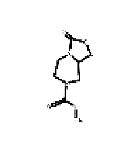 CC(C)(C)OC(=O)N1CCN2C(=O)OCC2C1